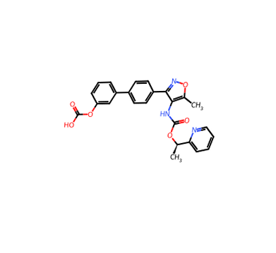 Cc1onc(-c2ccc(-c3cccc(OC(=O)O)c3)cc2)c1NC(=O)O[C@H](C)c1ccccn1